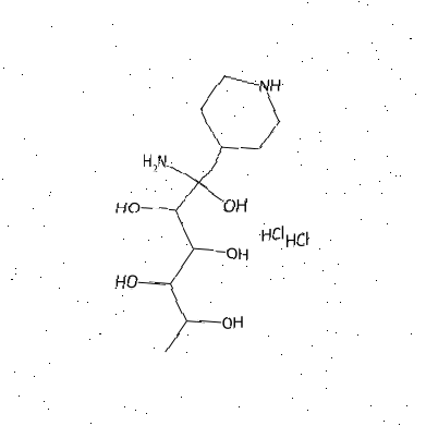 CC(O)C(O)C(O)C(O)C(N)(O)C1CCNCC1.Cl.Cl